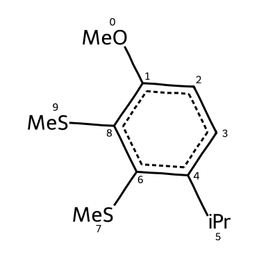 COc1ccc(C(C)C)c(SC)c1SC